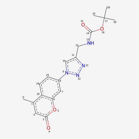 Cc1cc(=O)oc2cc(-n3cc(CNC(=O)OC(C)(C)C)nn3)ccc12